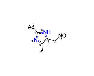 CC(=O)c1nc(C)c(CN=O)[nH]1